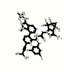 CC(C)C(O)C#Cc1ccc(-c2cccc3c(NS(C)(=O)=O)nn(C)c23)c([C@H](Cc2cc(F)cc(F)c2)NC(=O)Cn2nc(C(F)(F)F)c3c2C(F)(F)[C@@H]2C[C@H]32)n1